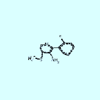 CSc1ccnc(-c2ccccc2F)c1N